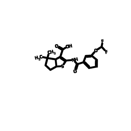 CC1(C)CCC2SC(NC(=O)c3cccc(OC(F)F)c3)=C(C(=O)O)C21